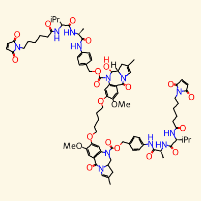 COc1cc2c(cc1OCCCCCOc1cc3c(cc1OC)C(=O)N1C=C(C)C[C@H]1[C@H](O)N3C(=O)OCc1ccc(NC(=O)[C@H](C)NC(=O)C(NC(=O)CCCCCN3C(=O)C=CC3=O)C(C)C)cc1)N(C(=O)OCc1ccc(NC(=O)[C@H](C)NC(=O)[C@@H](NC(=O)CCCCCN3C(=O)C=CC3=O)C(C)C)cc1)CC1CC(C)=CN1C2=O